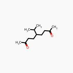 CC(=O)CCC(CCC(C)=O)C(C)C